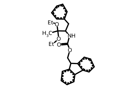 CCOC(C)(OCC)C(Cc1ccccc1)NC(=O)OCC1c2ccccc2-c2ccccc21